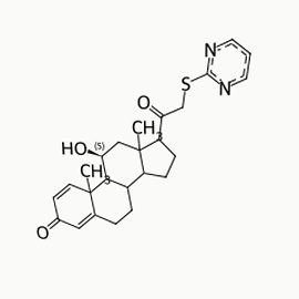 CC12C=CC(=O)C=C1CCC1C2[C@@H](O)CC2(C)C(C(=O)CSc3ncccn3)CCC12